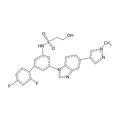 Cn1cc(-c2ccc3c(c2)ncn3-c2cc(NS(=O)(=O)CCO)cc(-c3ccc(F)cc3F)c2)cn1